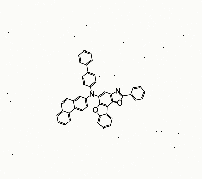 c1ccc(-c2ccc(N(c3ccc4c(ccc5ccccc54)c3)c3cc4nc(-c5ccccc5)oc4c4c3oc3ccccc34)cc2)cc1